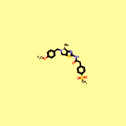 CC[C@@H](C)[C@@H]1c2nc(NC(=O)Cc3ccc(S(C)(=O)=O)cc3)sc2CN1Cc1ccc(OC(F)(F)F)cc1